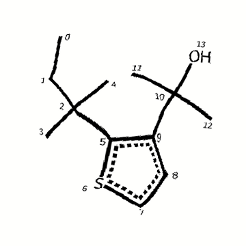 CCC(C)(C)c1sccc1C(C)(C)O